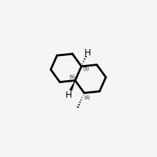 C[C@H]1CCC[C@@H]2CCCC[C@H]21